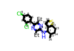 CCc1nc(-c2ccc(Cl)cc2Cl)c(CC)nc1NC1c2ccsc2CCC1C